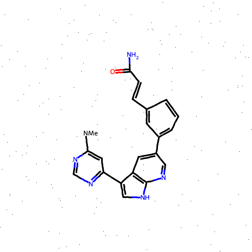 CNc1cc(-c2c[nH]c3ncc(-c4cccc(C=CC(N)=O)c4)cc23)ncn1